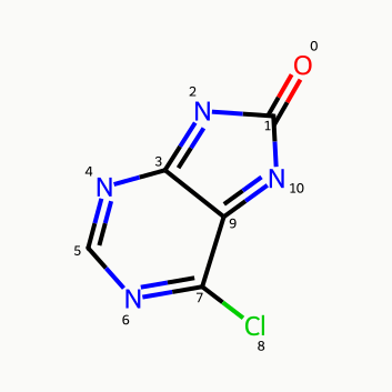 O=C1N=c2ncnc(Cl)c2=N1